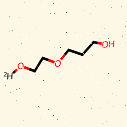 [2H]OCCOCCCO